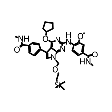 CNC(=O)c1ccc(-c2cn(COCC[Si](C)(C)C)c3nc(Nc4ccc(C(=O)NC)cc4OC)nc(OC4CCCC4)c23)cc1